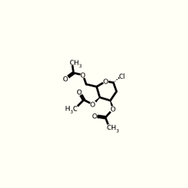 CC(=O)OCC1O[C@H](Cl)C[C@@H](OC(C)=O)[C@H]1OC(C)=O